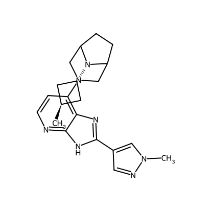 Cn1cc(-c2nc3c(N4CC5CCC(C4)N5[C@H]4C[C@H](C)C4)ccnc3[nH]2)cn1